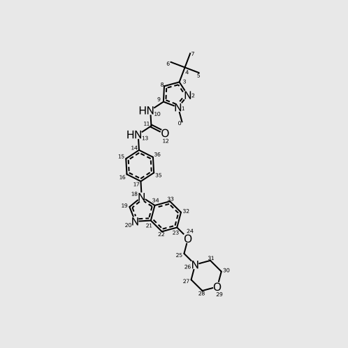 Cn1nc(C(C)(C)C)cc1NC(=O)Nc1ccc(-n2cnc3cc(OCN4CCOCC4)ccc32)cc1